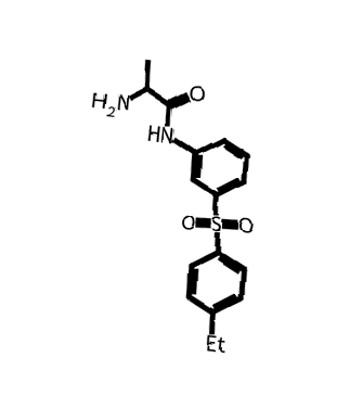 CCc1ccc(S(=O)(=O)c2cccc(NC(=O)C(C)N)c2)cc1